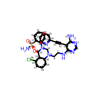 Nc1ncnc(NCCN2CN(c3ccccc3S(N)(=O)=O)C(=O)c3c(Cl)cccc32)c1C#Cc1ccccn1